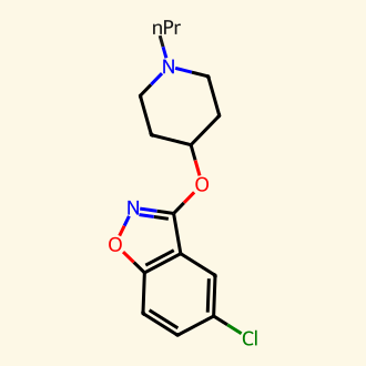 CCCN1CCC(Oc2noc3ccc(Cl)cc23)CC1